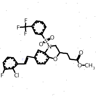 COC(=O)CCC1CN(S(=O)(=O)c2cccc(C(F)(F)F)c2)c2cc(/C=C/c3cccc(F)c3Cl)ccc2O1